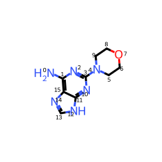 Nc1nc(N2CCOCC2)nc2[nH]cnc12